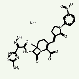 Nc1nc(/C(=N/O)C(=O)N[C@H]2C(=O)N3C(C(=O)[O-])=C(/C=C4\CCN(c5cccc([N+](=O)[O-])c5)C4=O)CC[C@@H]23)ns1.[Na+]